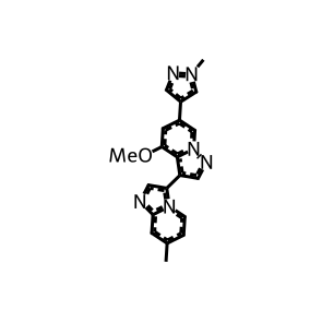 COc1cc(-c2cnn(C)c2)cn2ncc(-c3cnc4cc(C)ccn34)c12